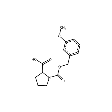 COc1cccc(COC(=O)N2CCC[C@H]2C(=O)O)c1